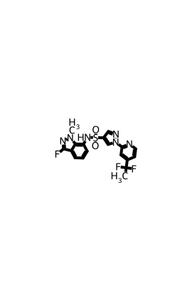 Cn1nc(F)c2cccc(NS(=O)(=O)c3cnn(-c4cc(C(C)(F)F)ccn4)c3)c21